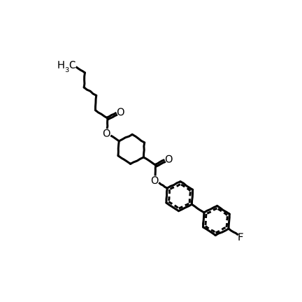 CCCCCC(=O)OC1CCC(C(=O)Oc2ccc(-c3ccc(F)cc3)cc2)CC1